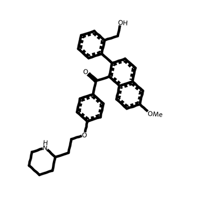 COc1ccc2c(C(=O)c3ccc(OCCC4CCCCN4)cc3)c(-c3ccccc3CO)ccc2c1